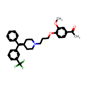 COc1cc(C(C)=O)ccc1OCCCN1CCC(=C(c2ccccc2)c2cccc(C(F)(F)F)c2)CC1